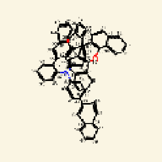 C1=Cc2ccc3c(c2CC1)Oc1c(ccc2ccccc12)C31c2ccccc2-c2ccc(-c3ccccc3N(c3ccc(-c4ccc5ccccc5c4)cc3)c3cccc(-c4ccccc4)c3)cc21